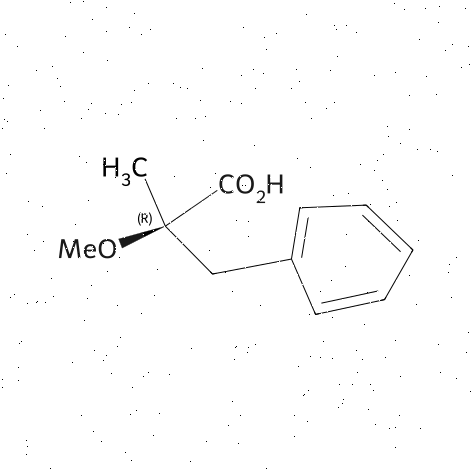 CO[C@](C)(Cc1ccccc1)C(=O)O